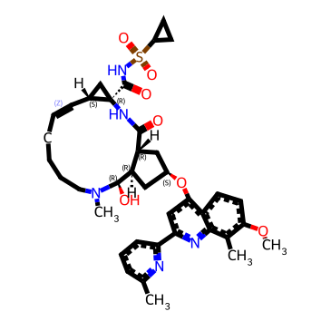 COc1ccc2c(O[C@H]3C[C@H]4[C@@H](O)N(C)CCCC/C=C\[C@@H]5C[C@@]5(C(=O)NS(=O)(=O)C5CC5)NC(=O)[C@@H]4C3)cc(-c3cccc(C)n3)nc2c1C